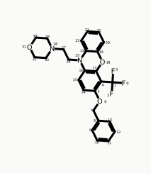 FC(F)(F)c1c(OCc2ccccc2)ccc2c1Oc1ccccc1N2CCN1CCOCC1